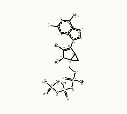 Nc1nc(Cl)nc2c1ncn2C1=C(O)[C@H](O)[C@]2(COP(=O)(O)OP(=O)(O)OP(=O)(O)O)CC12